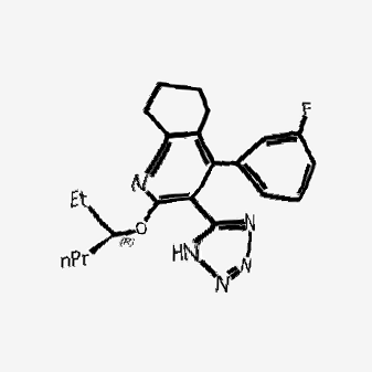 CCC[C@@H](CC)Oc1nc2c(c(-c3cccc(F)c3)c1-c1nnn[nH]1)CCCC2